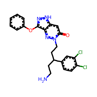 NCCC(CCn1nc2c(Oc3ccccc3)n[nH]c2cc1=O)c1ccc(Cl)c(Cl)c1